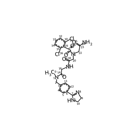 CN(Cc1ccc(C2=NCCN2)cc1)C(=O)CNC(=O)CN(CC(N)=O)S(=O)(=O)c1c(Cl)cccc1Cl